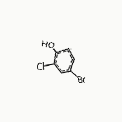 Oc1[c]cc(Br)cc1Cl